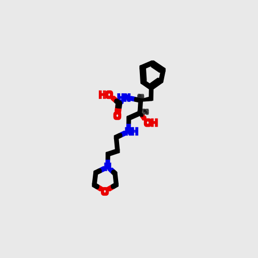 O=C(O)N[C@@H](Cc1ccccc1)[C@@H](O)CNCCCN1CCOCC1